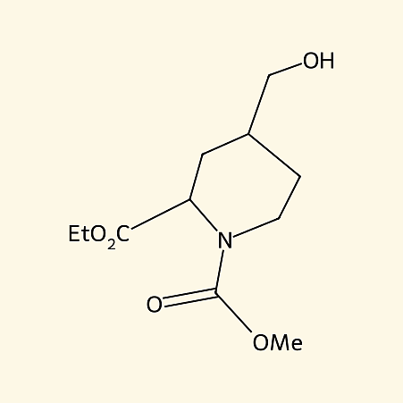 CCOC(=O)C1CC(CO)CCN1C(=O)OC